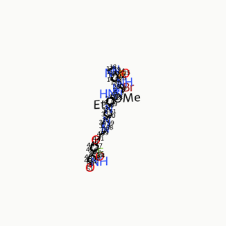 CCc1cc(Nc2ncc(Br)c(Nc3ccc4nccnc4c3P(C)(C)=O)n2)c(OC)cc1N1CCC(N2CCN(CCCOc3ccc(C4CCC(=O)NC4=O)c(F)c3)CC2)CC1